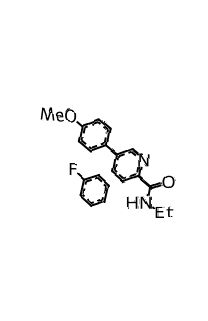 CCNC(=O)c1ccc(-c2ccc(OC)cc2)cn1.Fc1ccccc1